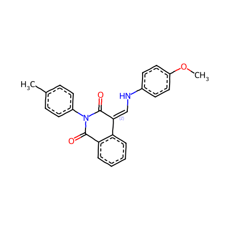 COc1ccc(N/C=C2\C(=O)N(c3ccc(C)cc3)C(=O)c3ccccc32)cc1